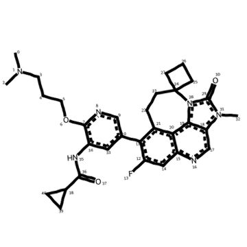 CN(C)CCCOc1ncc(-c2c(F)cc3ncc4c5c3c2CCC2(CCC2)n5c(=O)n4C)cc1NC(=O)C1CC1